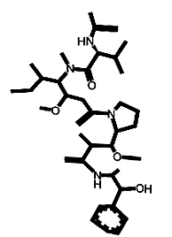 C=C(C)N[C@H](C(=O)N(C)C(C(C)CC)C(CC(=C)N1CCCC1C(OC)C(C)C(=C)NC(C)C(O)c1ccccc1)OC)C(C)C